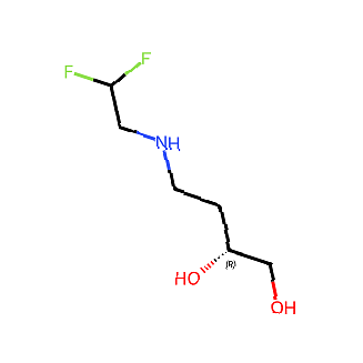 OC[C@H](O)CCNCC(F)F